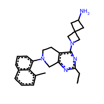 CCc1nc2c(c(N3CC4(CC(N)C4)C3)n1)CCN(c1cccc3cccc(C)c13)C2